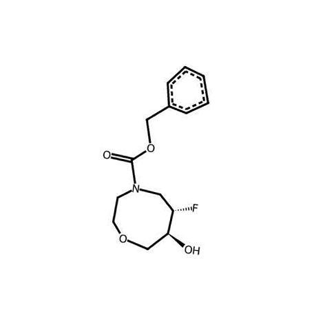 O=C(OCc1ccccc1)N1CCOC[C@H](O)[C@@H](F)C1